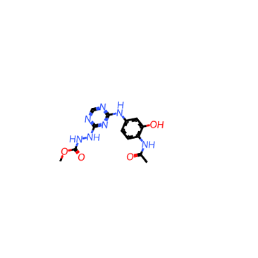 COC(=O)NNc1ncnc(Nc2ccc(NC(C)=O)c(O)c2)n1